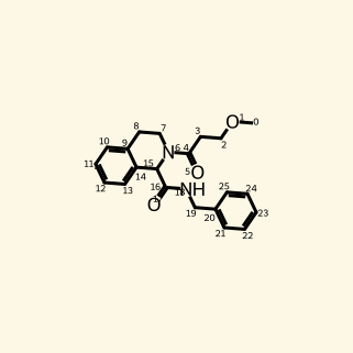 COCCC(=O)N1CCc2c[c]ccc2C1C(=O)NCc1ccccc1